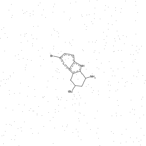 CC(C)(C)C1Cc2c([nH]c3ccc(Br)cc23)C(N)C1